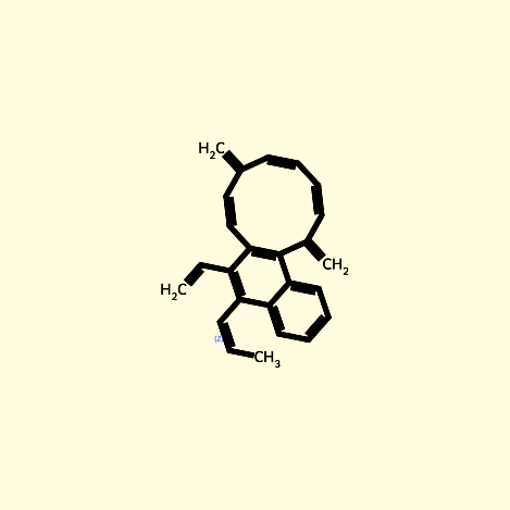 C=Cc1c(/C=C\C)c2ccccc2c2c(=C)ccccc(=C)ccc12